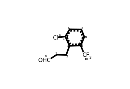 O=CCCc1c(Cl)cccc1C(F)(F)F